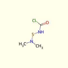 CN(C)SNC(=O)Cl